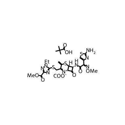 C=C1S[C@H]2C(C(=O)[C@H]2NC(=O)/C(=N\OC)c2csc(N)n2)[N+](C(=O)[O-])=C1CSc1nc(C(=O)OC)nn1CC.CC(C)(C)C(=O)O